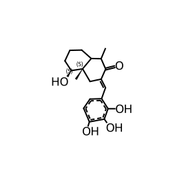 CC1C(=O)C(=Cc2ccc(O)c(O)c2O)C[C@@]2(C)C1CCC[C@@H]2O